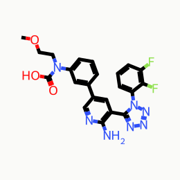 COCCN(C(=O)O)c1cccc(-c2cnc(N)c(-c3nnnn3-c3cccc(F)c3F)c2)c1